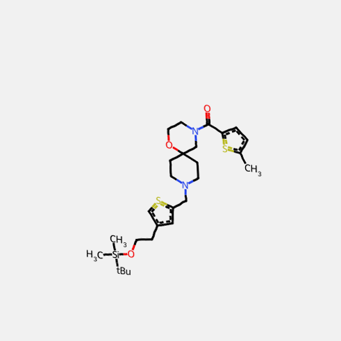 Cc1ccc(C(=O)N2CCOC3(CCN(Cc4cc(CCO[Si](C)(C)C(C)(C)C)cs4)CC3)C2)s1